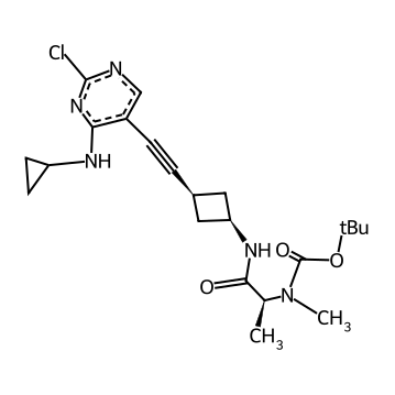 C[C@@H](C(=O)N[C@H]1C[C@@H](C#Cc2cnc(Cl)nc2NC2CC2)C1)N(C)C(=O)OC(C)(C)C